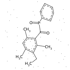 CCc1c(C)cc(C)c(C(=O)[P](=O)c2ccccc2)c1C